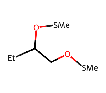 CCC(COSC)OSC